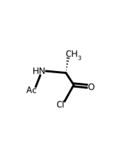 CC(=O)N[C@H](C)C(=O)Cl